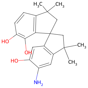 CC1(C)CC2(CC(C)(C)c3ccc(O)c(O)c32)c2cc(O)c(N)cc21